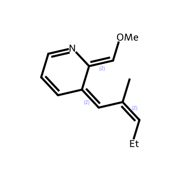 CC\C=C(C)/C=c1/cccn/c1=C\OC